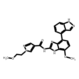 COCCn1cc(C(=O)Nc2nc3c(-c4cccc5[nH]ncc45)ccc(OC)c3[nH]2)cn1